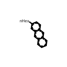 CCCCCCc1[c]c2cc3ccccc3cc2cc1